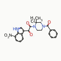 CC1(C)CN(C(=O)c2ccccc2)CCN1C(=O)C(=O)c1c[nH]c2c([N+](=O)[O-])cccc12